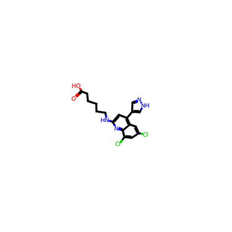 O=C(O)CCCCCNc1cc(-c2cn[nH]c2)c2cc(Cl)cc(Cl)c2n1